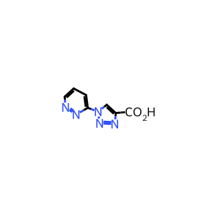 O=C(O)c1cn(-c2cccnn2)nn1